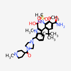 COc1c(C(N)=O)cc(C(C)(C)C)c(-c2c(C(=O)O)n(C)c3c(CN4CCN(C(=O)C5CCN(C)CC5)CC4)cccc23)c1NS(C)(=O)=O